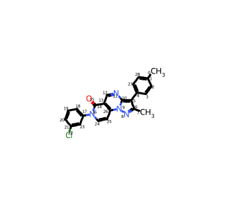 Cc1ccc(-c2c(C)nn3c2ncc2c(=O)n(-c4cccc(Cl)c4)ccc23)cc1